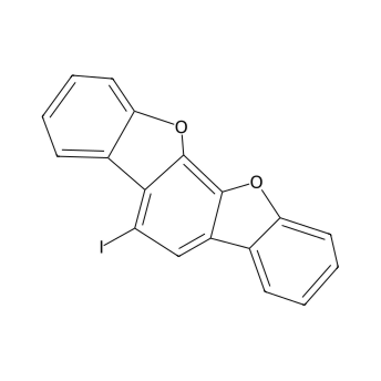 Ic1cc2c3ccccc3oc2c2oc3ccccc3c12